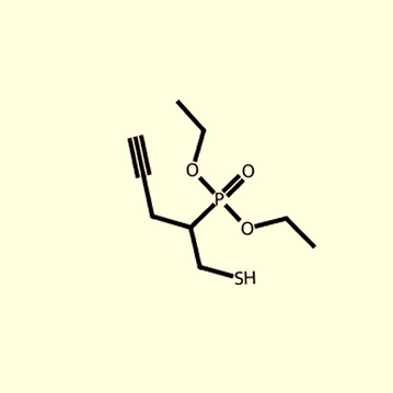 C#CCC(CS)P(=O)(OCC)OCC